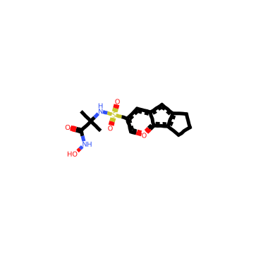 CC(C)(NS(=O)(=O)c1coc2c3c(cc-2c1)CCC3)C(=O)NO